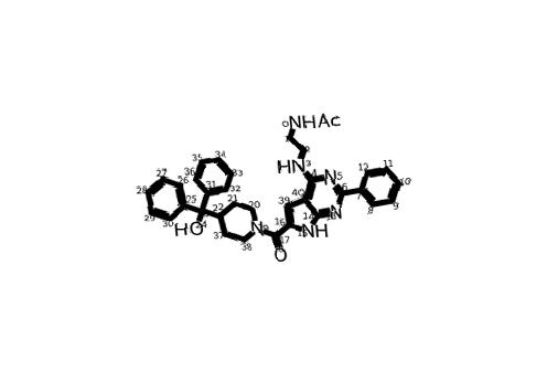 CC(=O)NCCNc1nc(-c2ccccc2)nc2[nH]c(C(=O)N3CCC(C(O)(c4ccccc4)c4ccccc4)CC3)cc12